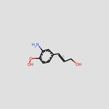 Nc1cc(/C=C/CO)ccc1OO